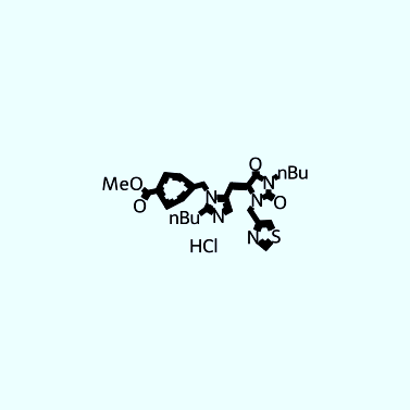 CCCCc1ncc(/C=C2/C(=O)N(CCCC)C(=O)N2Cc2cscn2)n1Cc1ccc(C(=O)OC)cc1.Cl